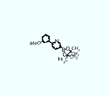 COc1cccc(-c2ccc(B3OC(C)(C)C(C)(C)O3)cn2)c1